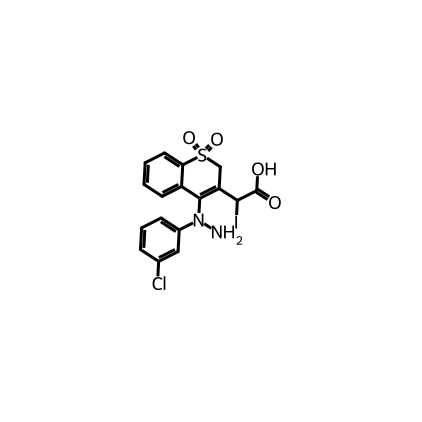 NN(C1=C(C(I)C(=O)O)CS(=O)(=O)c2ccccc21)c1cccc(Cl)c1